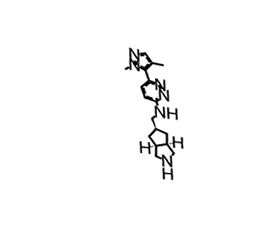 Cc1cnn(C)c1-c1ccc(NC[C@H]2C[C@H]3CNC[C@H]3C2)nn1